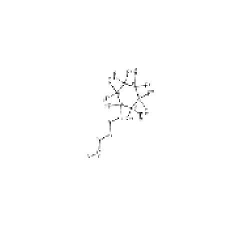 COCCCCC1(F)C(F)(F)C(F)(F)C(F)(F)C(F)(F)C1(F)F